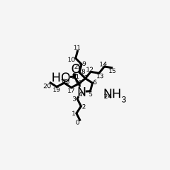 CCCCN1CCC(CCCC)(CCCC)C1(CCCC)C(=O)O.N